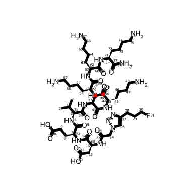 CC(C)[C@H](NC(=O)[C@H](CCC(=O)O)NC(=O)[C@H](CC(=O)O)NC(=O)Cn1cc(CCCF)nn1)C(=O)NC(CC=O)C(=O)N[C@@H](CCCCN)C(=O)N[C@@H](CCCCN)C(=O)N[C@@H](CCCCN)C(=O)N[C@@H](CCCCN)C(N)=O